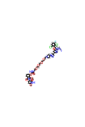 C[C@@H](Oc1cc(-c2cnn(C3CCN(CCOCCOCCOCCOCCNC(=O)COc4cccc5c4C(=O)N(C4CCC(=O)NC4=O)C5=O)CC3)c2)cnc1N)c1c(Cl)ccc(F)c1Cl